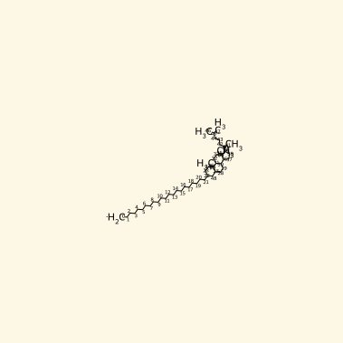 [CH2]CCCCCCCCCCCCCCCCCCCCCC1CC[C@@]2(C)C(=CCC3C2CC[C@@]2(C)C3CC[C@@H]2[C@H](C)CCCC(C)C)C1